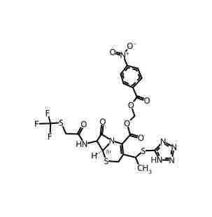 CC(Sc1nnn[nH]1)C1=C(C(=O)OCOC(=O)c2ccc([N+](=O)[O-])cc2)N2C(=O)C(NC(=O)CSC(F)(F)F)[C@@H]2SC1